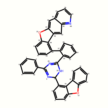 c1ccc(C2=NC(c3cccc4oc5ccccc5c34)NC(c3ccccc3-c3cccc4oc5cc6cccnc6cc5c34)=N2)cc1